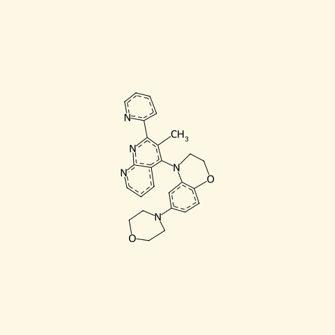 Cc1c(-c2ccccn2)nc2ncccc2c1N1CCOc2ccc(N3CCOCC3)cc21